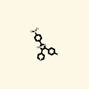 CC[S+]([O-])c1ccc(-c2nc(-c3ccc(F)cc3)c(-c3ccncc3)[nH]2)cc1